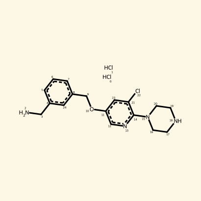 Cl.Cl.NCc1cccc(COc2cnc(N3CCNCC3)c(Cl)c2)c1